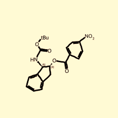 CC(C)(C)OC(=O)N[C@@H]1c2ccccc2C[C@H]1OC(=O)c1ccc([N+](=O)[O-])cc1